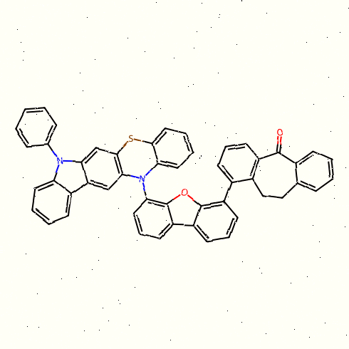 O=C1c2ccccc2CCc2c1cccc2-c1cccc2c1oc1c(N3c4ccccc4Sc4cc5c(cc43)c3ccccc3n5-c3ccccc3)cccc12